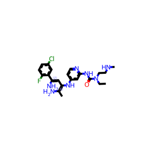 CCN(CCNC)C(=O)Nc1cc(NC(/C=C(\N)c2cc(Cl)ccc2F)=C(\C)N)ccn1